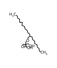 CCCCCCCCCCCCC(CCCCCCCCC)COCC(CO)(CO)CO